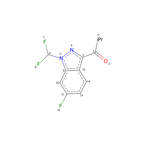 CC(C)C(=O)c1nn(C(F)F)c2cc(F)ccc12